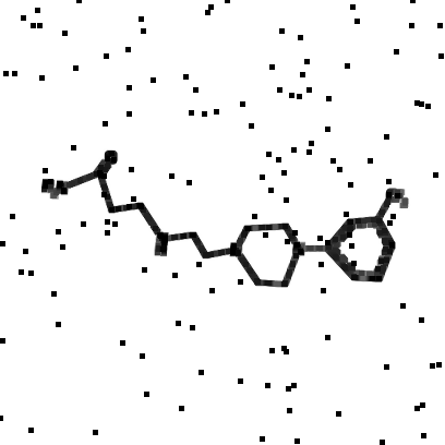 NC(=O)CCNCCN1CCN(c2cccc(C(F)(F)F)c2)CC1